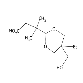 CCC1(CO)COC(C(C)(C)CC(=O)O)OC1